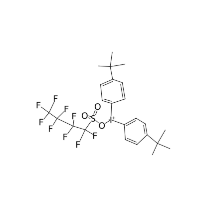 CC(C)(C)c1ccc([I+](OS(=O)(=O)C(F)(F)C(F)(F)C(F)(F)C(F)(F)F)c2ccc(C(C)(C)C)cc2)cc1